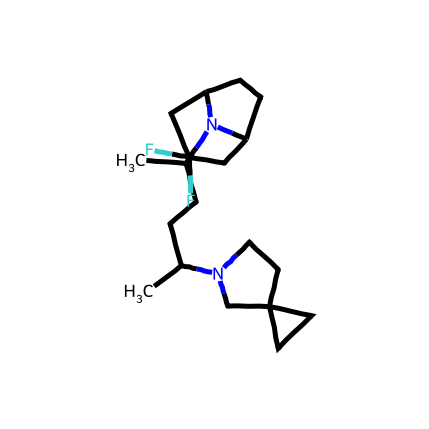 CC(CCC(C)N1C2CCC1CC(F)(F)C2)N1CCC2(CC2)C1